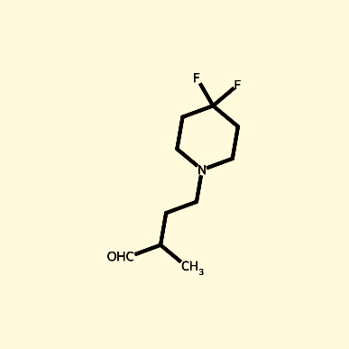 CC(C=O)CCN1CCC(F)(F)CC1